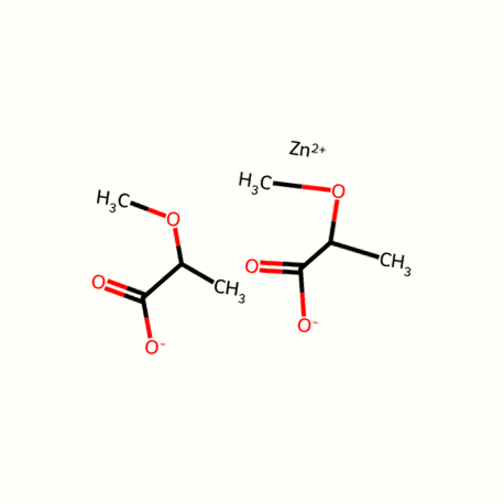 COC(C)C(=O)[O-].COC(C)C(=O)[O-].[Zn+2]